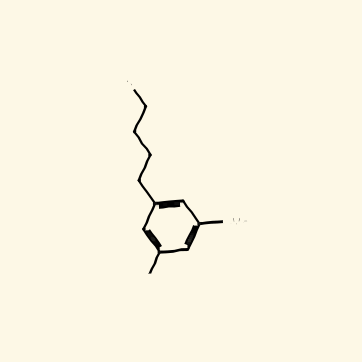 CSc1cc(Cl)cc(CCCCN)c1